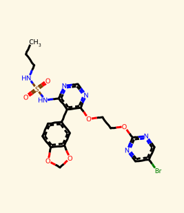 CCCNS(=O)(=O)Nc1ncnc(OCCOc2ncc(Br)cn2)c1-c1ccc2c(c1)OCO2